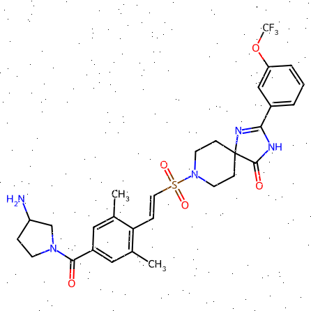 Cc1cc(C(=O)N2CCC(N)C2)cc(C)c1C=CS(=O)(=O)N1CCC2(CC1)N=C(c1cccc(OC(F)(F)F)c1)NC2=O